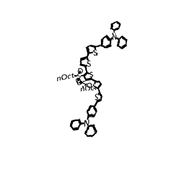 CCCCCCCCS(=O)(=O)c1c(-c2ccc(-c3ccc(-c4ccc(N(c5ccccc5)c5ccccc5)cc4)s3)s2)sc(-c2ccc(-c3ccc(-c4ccc(N(c5ccccc5)c5ccccc5)cc4)s3)s2)c1S(=O)(=O)CCCCCCCC